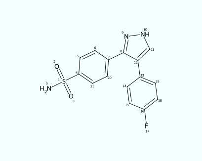 NS(=O)(=O)c1ccc(-c2n[nH]cc2-c2ccc(F)cc2)cc1